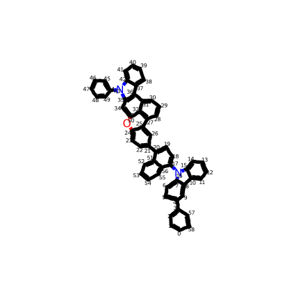 c1ccc(-c2ccc3c(c2)c2ccccc2n3-c2ccc(-c3ccc4c(c3)-c3cccc5c3c(cc3c5c5ccccc5n3-c3ccccc3)O4)c3ccccc23)cc1